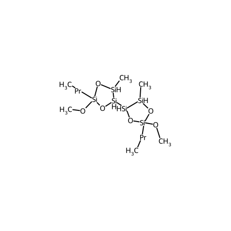 CO[Si]1([Pr][CH3])O[SiH](C)[SiH]([SiH]2O[Si](OC)([Pr][CH3])O[SiH]2C)O1